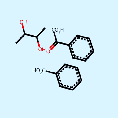 CC(O)C(C)O.O=C(O)C(=O)c1ccccc1.O=C(O)c1ccccc1